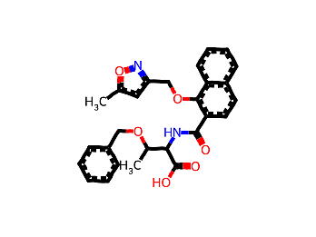 Cc1cc(COc2c(C(=O)NC(C(=O)O)C(C)OCc3ccccc3)ccc3ccccc23)no1